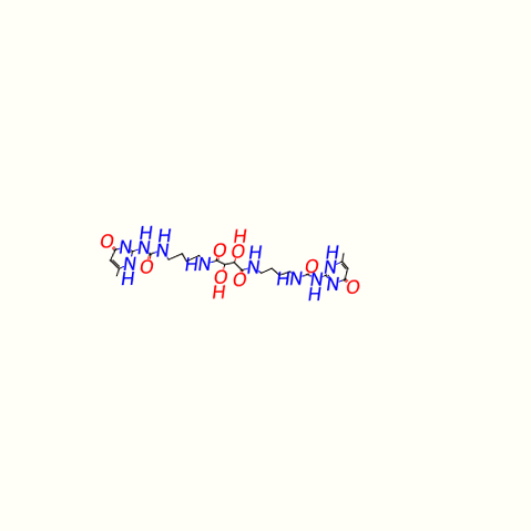 Cc1cc(=O)nc(NC(=O)NCCCCNC(=O)C(O)C(O)C(=O)NCCCCNC(=O)Nc2nc(=O)cc(C)[nH]2)[nH]1